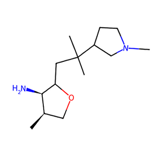 C[C@@H]1COC(CC(C)(C)C2CCN(C)C2)[C@@H]1N